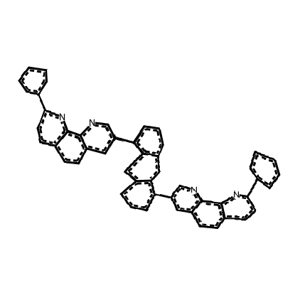 c1ccc(-c2ccc3ccc4cc(-c5cccc6cc7c(-c8cnc9c(ccc%10ccc(-c%11ccccc%11)nc%109)c8)cccc7cc56)cnc4c3n2)cc1